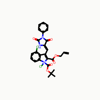 C=CCOC(=O)C1=C(C=C2NC(=O)N(c3ccccc3)C2=O)c2c(Cl)cccc2[N+]1(Cl)C(=O)OC(C)(C)C